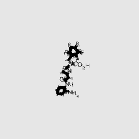 Nc1ccccc1NC(=O)Cc1csc(N(Cc2c(F)c(F)c(F)c(F)c2F)C(=O)O)n1